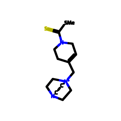 CSC(=S)N1CC=C(C[N+]23CCN(CC2)CC3)CC1